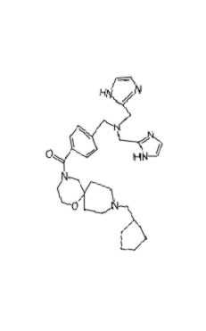 O=C(c1ccc(CN(Cc2ncc[nH]2)Cc2ncc[nH]2)cc1)N1CCOC2(CCN(CC3CCCCC3)CC2)C1